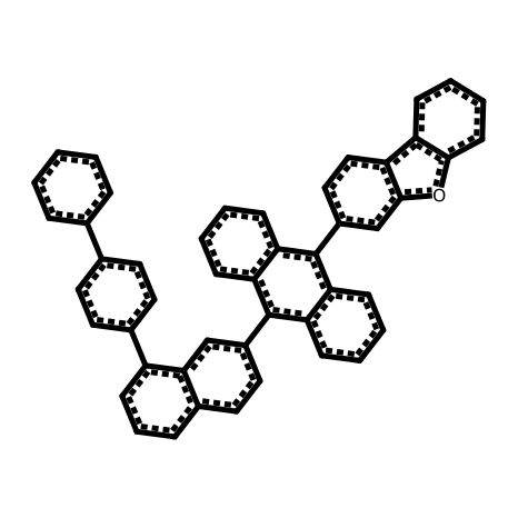 c1ccc(-c2ccc(-c3cccc4ccc(-c5c6ccccc6c(-c6ccc7c(c6)oc6ccccc67)c6ccccc56)cc34)cc2)cc1